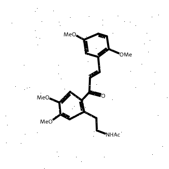 COc1ccc(OC)c(C=CC(=O)c2cc(OC)c(OC)cc2CCNC(C)=O)c1